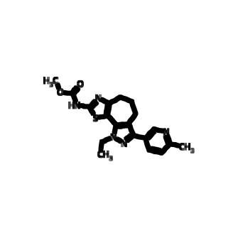 CCn1nc(-c2ccc(C)nc2)c2c1-c1sc(NC(=O)OC)nc1CCC2